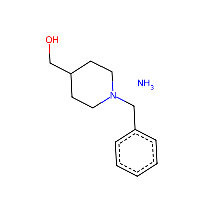 N.OCC1CCN(Cc2ccccc2)CC1